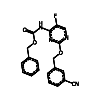 N#Cc1cccc(COc2ncc(F)c(NC(=O)OCc3ccccc3)n2)c1